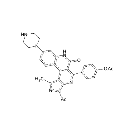 CC(=O)Oc1ccc(-c2nc3c(c(C)nn3C(C)=O)c3c2c(=O)[nH]c2cc(N4CCNCC4)ccc23)cc1